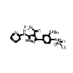 CCS(=O)(=O)Nc1ccc(-c2n[nH]c(Nc3ccccn3)c2C(N)=O)cc1OCC(C)C